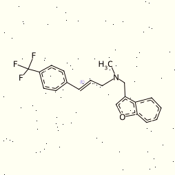 CN(C/C=C/c1ccc(C(F)(F)F)cc1)Cc1coc2ccccc12